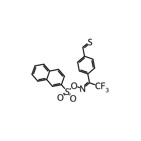 O=S(=O)(ON=C(c1ccc(C=S)cc1)C(F)(F)F)c1ccc2ccccc2c1